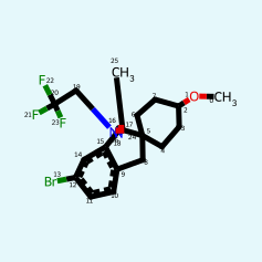 COC1CCC2(CC1)Cc1ccc(Br)cc1C21CN(CC(F)(F)F)C(C)=N1